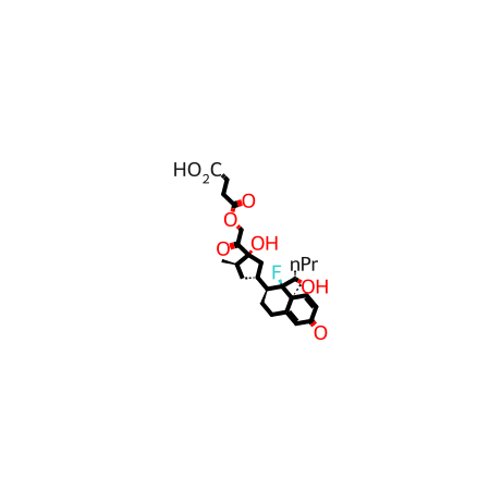 CCC[C@H](O)[C@@]1(F)[C@H]([C@@H]2C[C@@H](C)[C@](O)(C(=O)COC(=O)CCC(=O)O)C2)CCC2=CC(=O)C=C[C@@]21C